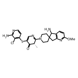 COc1ccc2c(n1)CC1(CCN(C3=NC=C(Sc4ccnc(N)c4Cl)C(=O)[C@H]3C)CC1)C2N